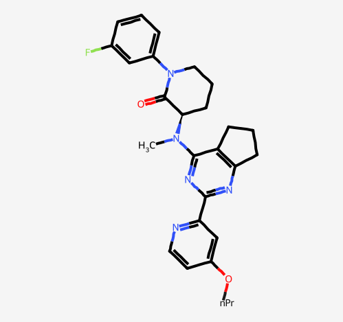 CCCOc1ccnc(-c2nc3c(c(N(C)[C@@H]4CCCN(c5cccc(F)c5)C4=O)n2)CCC3)c1